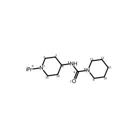 CC(C)N1CCC(NC(=O)N2CCCCC2)CC1